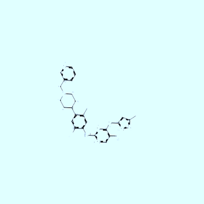 Cc1cc(Nc2nc(Nc3cc(C)c(C4CCN(Cc5cccnc5)CC4)cc3F)ncc2Cl)n[nH]1